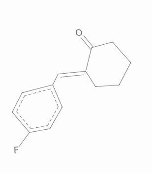 O=C1CCCC/C1=C\c1ccc(F)cc1